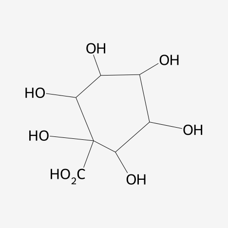 O=C(O)C1(O)C(O)C(O)C(O)C(O)C1O